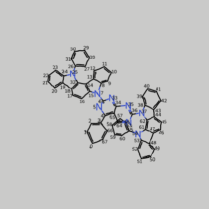 c1ccc(-c2nc(-n3c4ccccc4c4c3ccc3c5ccccc5n(-c5ccccc5)c34)nc3nc(-n4c5ccccc5c5ccc6c7ccccc7n(-c7ccccc7)c6c54)ncc23)cc1